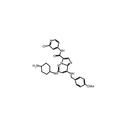 COc1ccc(CNc2cc(NC3CCC(N)CC3)nn3c(C(=O)Nc4ccnc(Cl)c4)cnc23)cc1